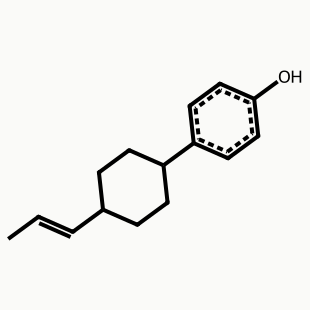 C/C=C/C1CCC(c2ccc(O)cc2)CC1